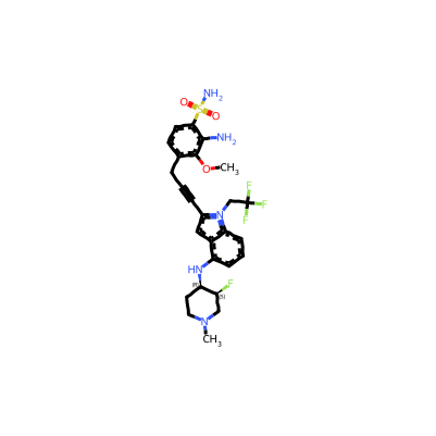 COc1c(CC#Cc2cc3c(N[C@@H]4CCN(C)C[C@@H]4F)cccc3n2CC(F)(F)F)ccc(S(N)(=O)=O)c1N